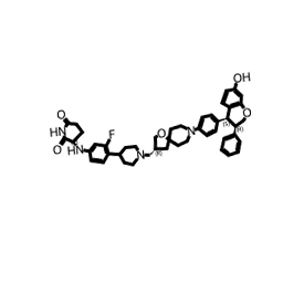 O=C1CC[C@@H](Nc2ccc(C3CCN(C[C@@H]4COC5(CCN(c6ccc([C@H]7c8ccc(O)cc8OC[C@H]7c7ccccc7)cc6)CC5)C4)CC3)c(F)c2)C(=O)N1